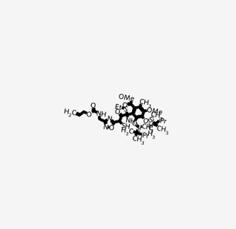 C=CCOC(=O)NCc1noc(C(S)C(=O)C(N)(SCC)c2c(O[SiH](C)C(C)(C)C(C)C)c(O[SiH](C)C(C)(C)C(C)C)c(OC)c(C)c2C(=O)OC)n1